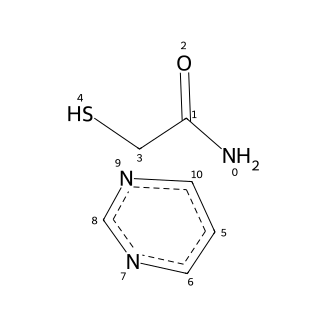 NC(=O)CS.c1cncnc1